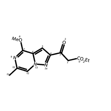 CCOC(=O)CC(=O)c1cc2c(OC)nc(C)cn2n1